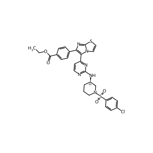 CCOC(=O)c1ccc(-c2nc3sccn3c2-c2ccnc(N[C@@H]3CCCN(S(=O)(=O)c4ccc(Cl)cc4)C3)n2)cc1